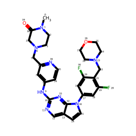 CN1CCN(Cc2cc(Nc3ncc4ccn(-c5cc(F)c(CN6CCOCC6)c(F)c5)c4n3)ccn2)CC1=O